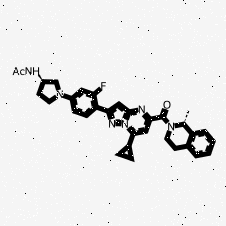 CC(=O)N[C@H]1CCN(c2ccc(-c3cc4nc(C(=O)N5CCc6ccccc6[C@H]5C)cc(C5CC5)n4n3)c(F)c2)C1